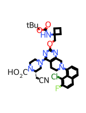 CC(C)(C)OC(=O)NC1(COc2nc3c(c(N4CCN(C(=O)O)[C@@H](CC#N)C4)n2)CCN(c2cccc4ccc(F)c(Cl)c24)C3)CCC1